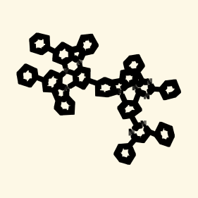 c1ccc(-c2cc3c4c(c2)c2ccccc2n4-c2cc(-c4ccc5c(c4)c4ccccc4n5-c4ccc(-c5nc(-c6ccccc6)cc(-c6ccccc6)n5)cc4-c4nc(-c5ccccc5)nc(-c5ccccc5)n4)cc4c2B3c2cc(-c3ccccc3)cc3c5ccccc5n-4c23)cc1